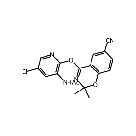 CC(=O)Nc1cc(Cl)cnc1OC1=NC(C)(C)Oc2ccc(C#N)cc21